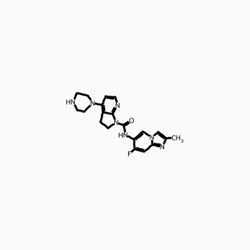 Cc1cn2cc(NC(=O)N3CCc4c(N5CCNCC5)ccnc43)c(F)cc2n1